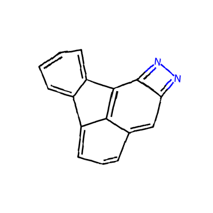 c1ccc2c(c1)-c1cccc3cc4c(c-2c13)=NN=4